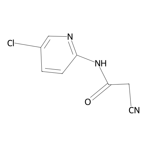 N#CCC(=O)Nc1ccc(Cl)cn1